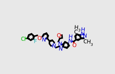 Cc1n[nH]c2c(C)cc(C(=O)Nc3ccc4nc(CN5CC=C(c6cccc(OCc7ccc(Cl)cc7F)n6)CC5)n(CC5CCO5)c4c3)cc12